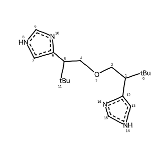 CC(C)(C)C(COCC(c1c[nH]cn1)C(C)(C)C)c1c[nH]cn1